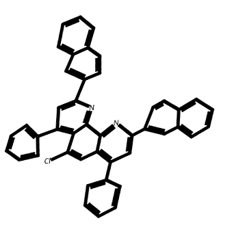 Clc1cc2c(-c3ccccc3)cc(-c3ccc4ccccc4c3)nc2c2nc(-c3ccc4ccccc4c3)cc(-c3ccccc3)c12